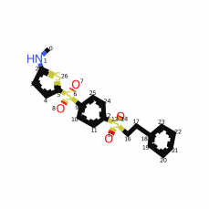 CNc1ccc(S(=O)(=O)c2ccc(S(=O)(=O)CCc3ccccc3)cc2)s1